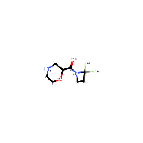 O=C([C]1CNCCO1)N1CCC1(F)F